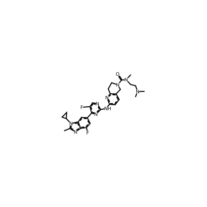 Cc1nc2c(F)cc(-c3nc(Nc4ccc5c(n4)CCN(C(=O)N(C)CCN(C)C)C5)ncc3F)cc2n1C1CC1